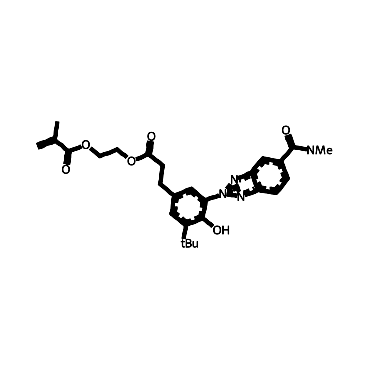 C=C(C)C(=O)OCCOC(=O)CCc1cc(-n2n3c4ccc(C(=O)NC)cc4n23)c(O)c(C(C)(C)C)c1